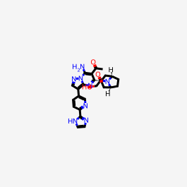 CC(=O)c1c([C@@H]2C[C@H]3CC[C@@H](C2)N3C(=O)CO)nc2c(-c3ccc(-c4ncc[nH]4)nc3)cnn2c1N